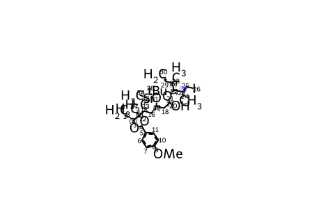 C=C[C@@H]1OC(c2ccc(OC)cc2)O[C@]1(C)CC[C@H](CC(O)O[C@H](/C(C)=C/I)[C@@H](C)C=C)O[Si](C)(C)C(C)(C)C